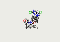 [2H]C([2H])([2H])c1c([N+](=O)[O-])c(OC([2H])([2H])C([2H])([2H])C([2H])([2H])n2nc(Cl)c3cnc(Cl)nc32)nn1C1CCOCC1